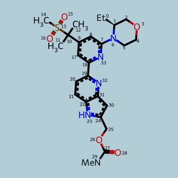 CC[C@H]1COCCN1c1cc(C(C)(C)S(C)(=O)=O)cc(-c2ccc3[nH]c(COC(=O)NC)cc3n2)n1